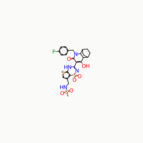 CS(=O)(=O)NCc1csc2c1S(=O)(=O)N=C(C1=C(O)C3C4CCC(CC4)C3N(Cc3ccc(F)cc3)C1=O)N2